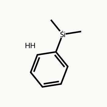 C[Si](C)c1ccccc1.[HH]